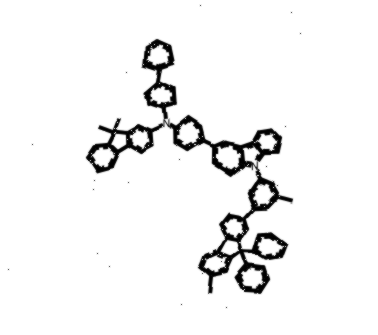 Cc1cc(-c2ccc3c(c2)C(c2ccccc2)(c2ccccc2)c2cc(C)ccc2-3)cc(-n2c3ccccc3c3cc(-c4ccc(N(c5ccc(-c6ccccc6)cc5)c5ccc6c(c5)C(C)(C)c5ccccc5-6)cc4)ccc32)c1